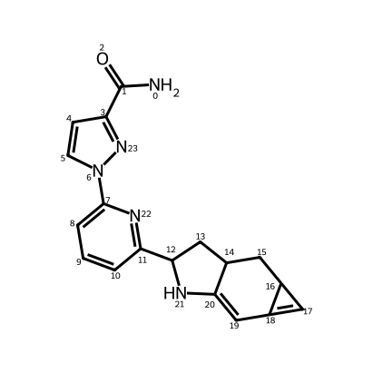 NC(=O)c1ccn(-c2cccc(C3CC4CC5C=C5C=C4N3)n2)n1